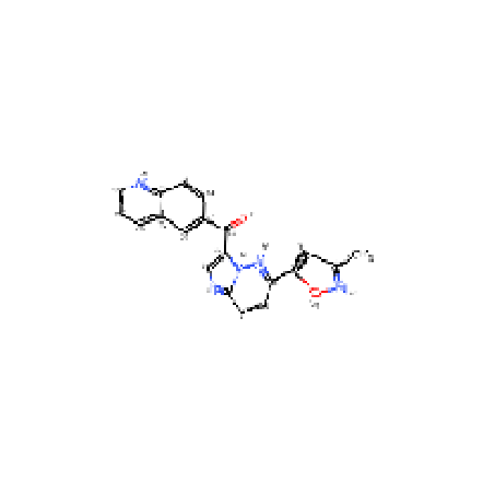 Cc1cc(-c2ccc3ncc(C(=O)c4ccc5ncccc5c4)n3n2)on1